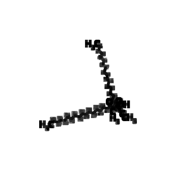 CCCCCCCCCCCCCCCCCC(=O)C(C)(C(=O)CCCCCCCCCCCCCCCCC)N(O)CCC